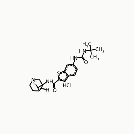 CC(C)(C)NC(=O)Nc1ccc2cc(C(=O)N[C@H]3CN4CCC3CC4)sc2c1.Cl